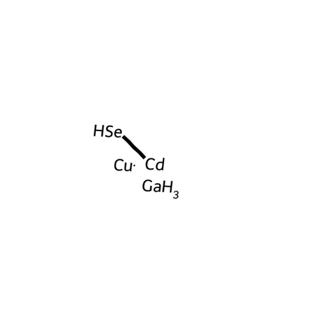 [Cu].[GaH3].[SeH][Cd]